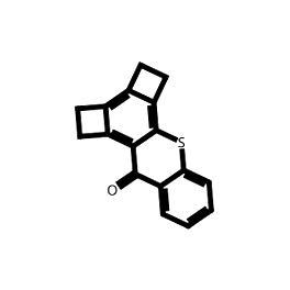 O=c1c2ccccc2sc2c3c(c4c(c12)CC4)CC3